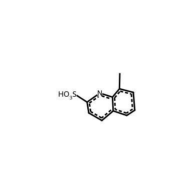 Cc1cccc2ccc(S(=O)(=O)O)nc12